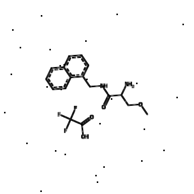 COCC(N)C(=O)NCc1cccc2ccccc12.O=C(O)C(F)(F)F